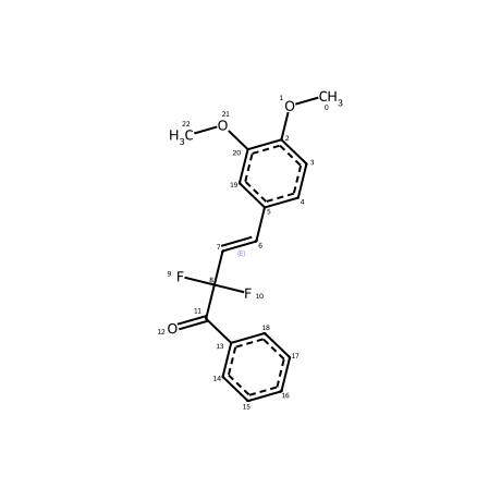 COc1ccc(/C=C/C(F)(F)C(=O)c2ccccc2)cc1OC